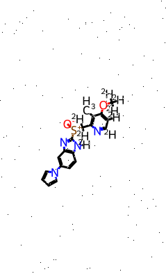 [2H]c1nc(C([2H])([2H])[S+]([O-])c2nc3cc(-n4cccc4)ccc3n2[2H])c(C)c(OC([2H])([2H])[2H])c1[2H]